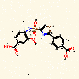 COc1cc(C(=O)O)ccc1NS(=O)(=O)c1csc(-c2ccc(C(=O)O)cc2)n1